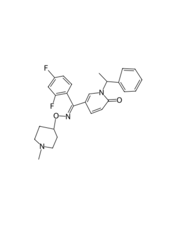 CC(c1ccccc1)n1cc(/C(=N/OC2CCN(C)CC2)c2ccc(F)cc2F)ccc1=O